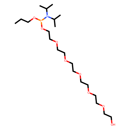 CCCOP(OCCOCCOCCOCCOCCOCCO)N(C(C)C)C(C)C